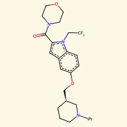 CC(C)N1CCC[C@@H](COc2ccc3c(c2)cc(C(=O)N2CCOCC2)n3CC(F)(F)F)C1